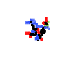 CNC(=O)[C@H](Cc1ccc(C(=N)N)cc1)C(=O)NC(CCC(=O)O)C(=O)NC(CCCNC(=N)N)C(N)=O.O=C(O)C(F)(F)F